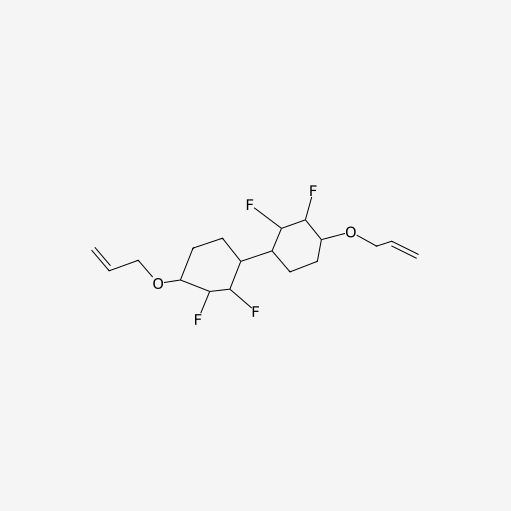 C=CCOC1CCC(C2CCC(OCC=C)C(F)C2F)C(F)C1F